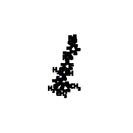 Cc1ccc(C(C)C)c(N2C(=O)CS/C2=N\C(=O)Nc2ccc(-c3ncn(-c4cccc(OC(F)(F)F)c4)n3)cc2C)c1